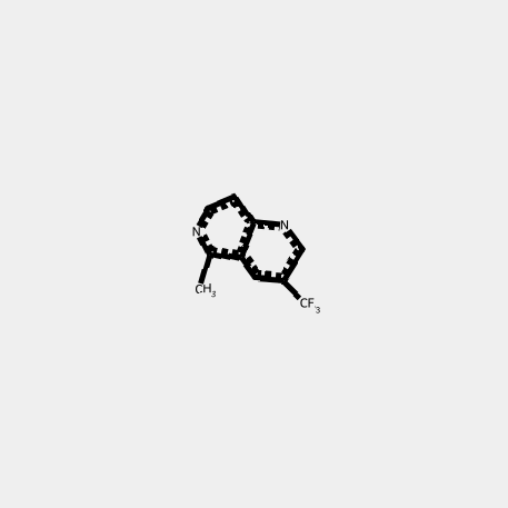 Cc1nccc2ncc(C(F)(F)F)cc12